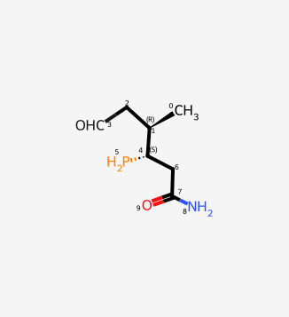 C[C@H](CC=O)[C@@H](P)CC(N)=O